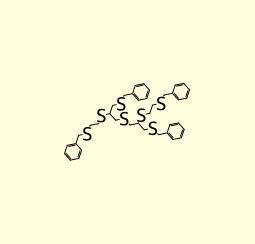 c1ccc(CSCCSC(CSCc2ccccc2)CSCC(CSCc2ccccc2)SCCSCc2ccccc2)cc1